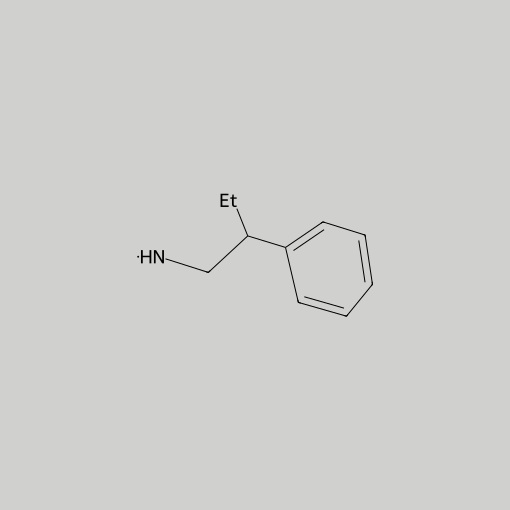 CCC(C[NH])c1ccccc1